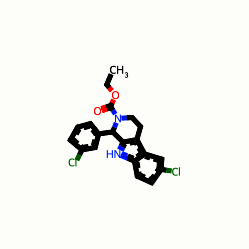 CCOC(=O)N1CCc2c([nH]c3ccc(Cl)cc23)C1c1cccc(Cl)c1